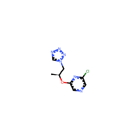 C[C@@H](Cn1cnnn1)Oc1cncc(Cl)n1